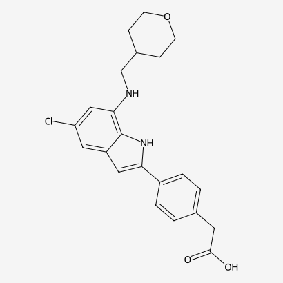 O=C(O)Cc1ccc(-c2cc3cc(Cl)cc(NCC4CCOCC4)c3[nH]2)cc1